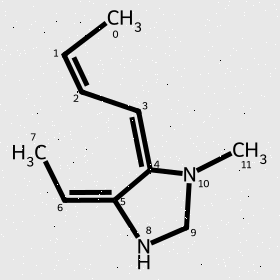 C\C=C/C=C1\C(=C/C)NCN1C